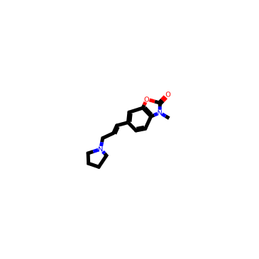 Cn1c(=O)oc2cc(/C=C/CN3CCCC3)ccc21